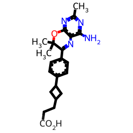 Cc1nc(N)c2c(n1)OC(C)(C)C(c1ccc(C3CC(CCC(=O)O)C3)cc1)=N2